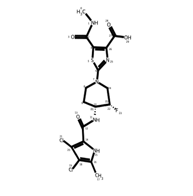 CNC(=O)c1sc(N2CC[C@@H](NC(=O)c3[nH]c(C)c(Cl)c3Cl)[C@@H](F)C2)nc1C(=O)O